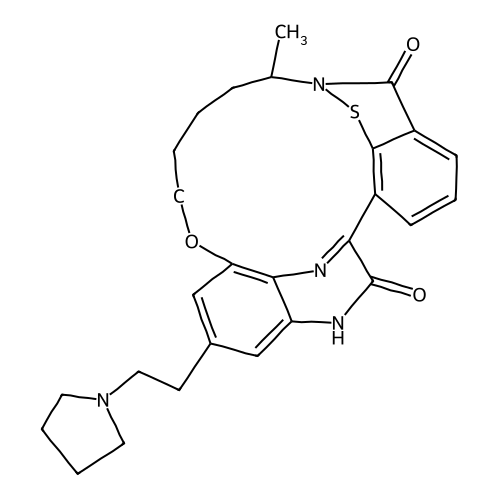 CC1CCCCOc2cc(CCN3CCCC3)cc3[nH]c(=O)c(nc23)-c2cccc3c(=O)n1sc23